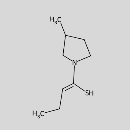 CCC=C(S)N1CCC(C)C1